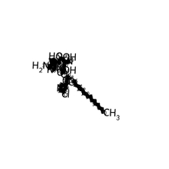 CCCCCCCCCCCCCCCCCOC[C@H](COP(=O)(O)OC[C@@]1(C#N)O[C@@H](c2ccc3c(N)ncnn23)[C@H](O)[C@@H]1O)OCc1cncc(Cl)c1